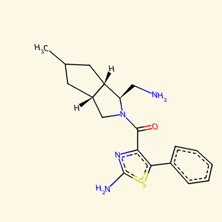 CC1C[C@H]2CN(C(=O)c3nc(N)sc3-c3ccccc3)[C@H](CN)[C@H]2C1